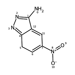 NC1=NN=C2CC=C([N+](=O)[O-])C=C12